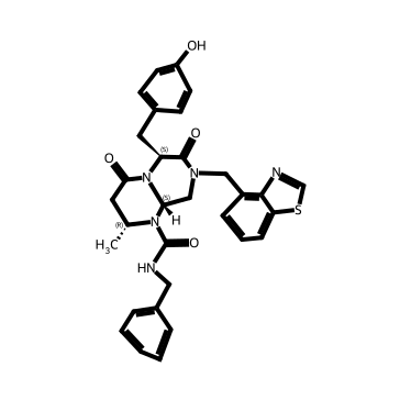 C[C@@H]1CC(=O)N2[C@H](CN(Cc3cccc4scnc34)C(=O)[C@@H]2Cc2ccc(O)cc2)N1C(=O)NCc1ccccc1